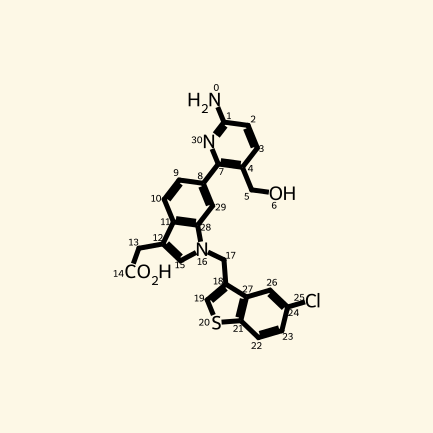 Nc1ccc(CO)c(-c2ccc3c(CC(=O)O)cn(Cc4csc5ccc(Cl)cc45)c3c2)n1